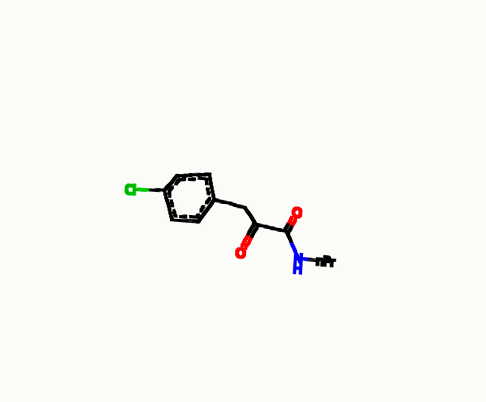 CCCNC(=O)C(=O)Cc1ccc(Cl)cc1